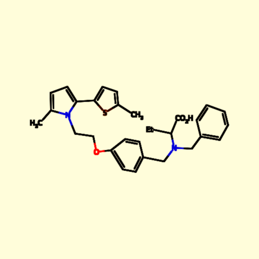 CCC(C(=O)O)N(Cc1ccccc1)Cc1ccc(OCCn2c(C)ccc2-c2ccc(C)s2)cc1